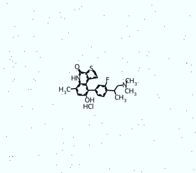 Cc1cc(O)c(-c2ccc(C(C)CN(C)C)c(F)c2)c2c1[nH]c(=O)c1sccc12.Cl